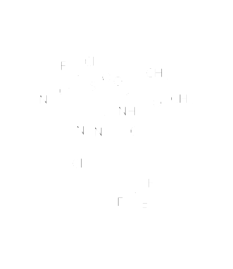 COC(C)C(=O)Nc1c([S+]([O-])C(F)(Cl)Cl)c(C#N)nn1-c1c(Cl)cc(C(F)(F)F)cc1Cl